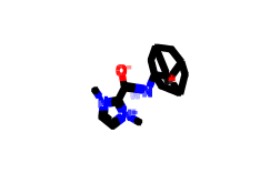 Cn1cc[n+](C)c1/C([O-])=N/C12CC3CC(CC(C3)C1)C2